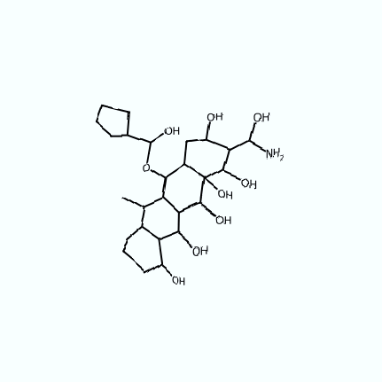 CC1C2CCCC(O)C2C(O)C2C1C(OC(O)C1CCCC1)C1CC(O)C(C(N)O)C(O)C1(O)C2O